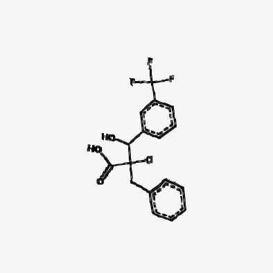 O=C(O)C(Cl)(Cc1ccccc1)C(O)c1cccc(C(F)(F)F)c1